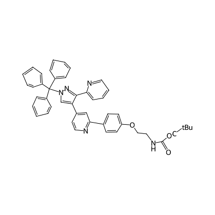 CC(C)(C)COC(=O)NCCOc1ccc(-c2cc(-c3cn(C(c4ccccc4)(c4ccccc4)c4ccccc4)nc3-c3ccccn3)ccn2)cc1